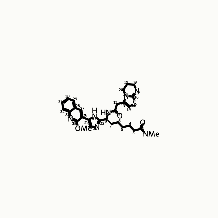 CNC(=O)CCCCC[C@H](NC(=O)CC1=CSC2=NCCCN12)c1ncc(-c2cc3ccccc3nc2OC)[nH]1